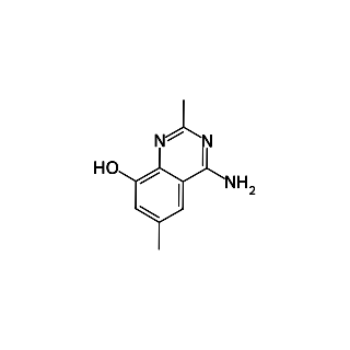 Cc1cc(O)c2nc(C)nc(N)c2c1